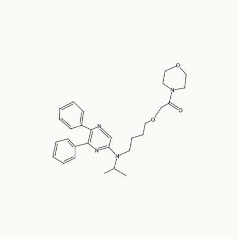 CC(C)N(CCCCOCC(=O)N1CCOCC1)c1cnc(-c2ccccc2)c(-c2ccccc2)n1